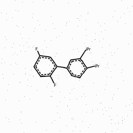 CC(C)c1ccc(-c2cc(F)ccc2F)cc1C(C)C